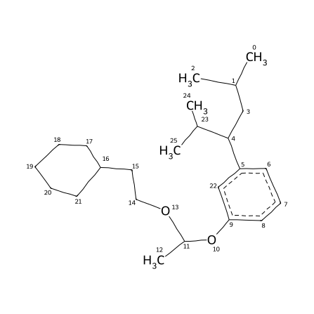 CC(C)CC(c1cccc(OC(C)OCCC2CCCCC2)c1)C(C)C